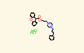 Cl.Cl.O=C(OCCCN1CCN(C/C=C/c2ccccc2)CC1)C1c2ccccc2Oc2ccccc21